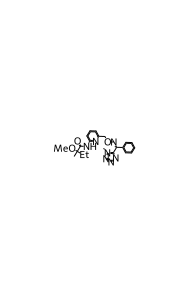 CCC(C)(OC)C(=O)Nc1cccc(CO/N=C(/c2ccccc2)c2nnnn2C)n1